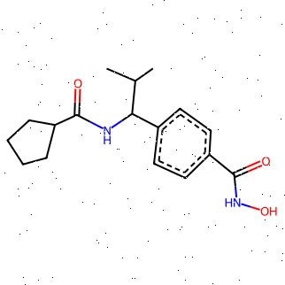 CC(C)C(NC(=O)C1CCCC1)c1ccc(C(=O)NO)cc1